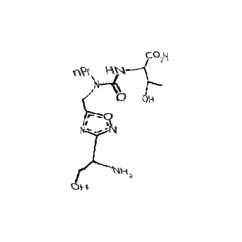 CCCN(Cc1nc(C(N)CO)no1)C(=O)NC(C(=O)O)C(C)O